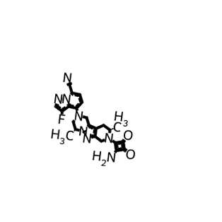 C[C@@H]1CN(c2ccc(C#N)n3ncc(F)c23)Cc2c3c(nn21)CN(c1c(N)c(=O)c1=O)[C@@H](C)C3